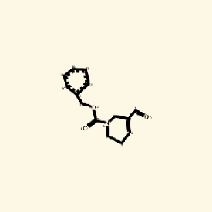 O=CC1=CCCN(C(=O)OCc2ccccc2)C1